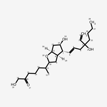 C=CC(O)(C/C=C/[C@@H]1[C@H]2CC(C(I)CCCC(=O)CO)O[C@H]2C[C@H]1O)CCCC